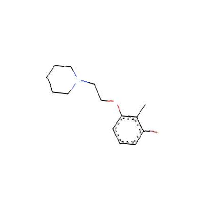 Cc1c(Br)cccc1OCCN1CCCCC1